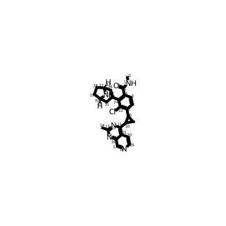 CNC(=O)c1ccc(C2CC2c2nc(C)nc3cnccc23)c(Cl)c1C1C[C@H]2CC[C@@H](C1)N2